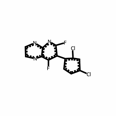 Fc1nc2nccnc2c(F)c1-c1ccc(Cl)cc1Cl